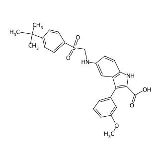 COc1cccc(-c2c(C(=O)O)[nH]c3ccc(NCS(=O)(=O)c4ccc(C(C)(C)C)cc4)cc23)c1